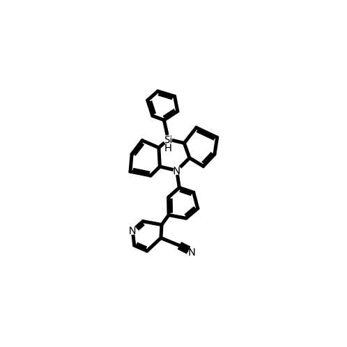 N#CC1C=CN=CC1c1cccc(N2C3C=CC=CC3[SiH](c3ccccc3)C3C=CC=CC32)c1